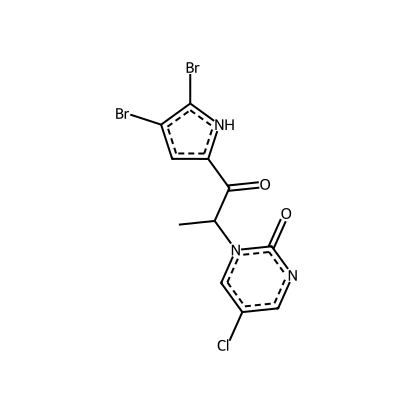 CC(C(=O)c1cc(Br)c(Br)[nH]1)n1cc(Cl)cnc1=O